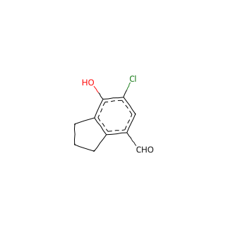 O=Cc1cc(Cl)c(O)c2c1CCC2